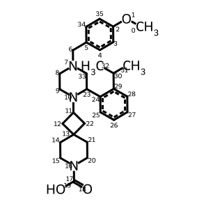 COc1ccc(CN2CCN(C3CC4(CCN(C(=O)O)CC4)C3)C(c3ccccc3C(C)C)C2)cc1